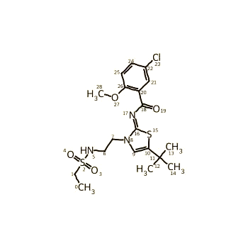 CCS(=O)(=O)NCCn1cc(C(C)(C)C)s/c1=N\C(=O)c1cc(Cl)ccc1OC